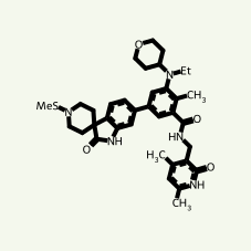 CCN(c1cc(-c2ccc3c(c2)NC(=O)C32CCN(SC)CC2)cc(C(=O)NCc2c(C)cc(C)[nH]c2=O)c1C)C1CCOCC1